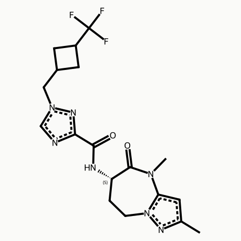 Cc1cc2n(n1)CC[C@H](NC(=O)c1ncn(CC3CC(C(F)(F)F)C3)n1)C(=O)N2C